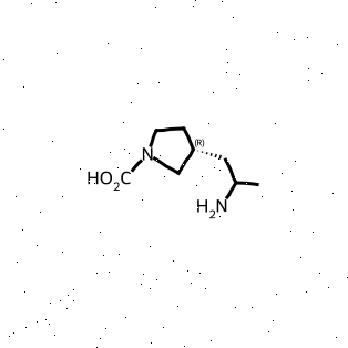 CC(N)C[C@H]1CCN(C(=O)O)C1